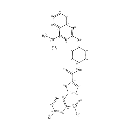 CN(C)c1nc(N[C@H]2CC[C@@H](NC(=O)c3ccc(-c4ccc(Cl)cc4[N+](=O)[O-])o3)CC2)nc2ccccc12